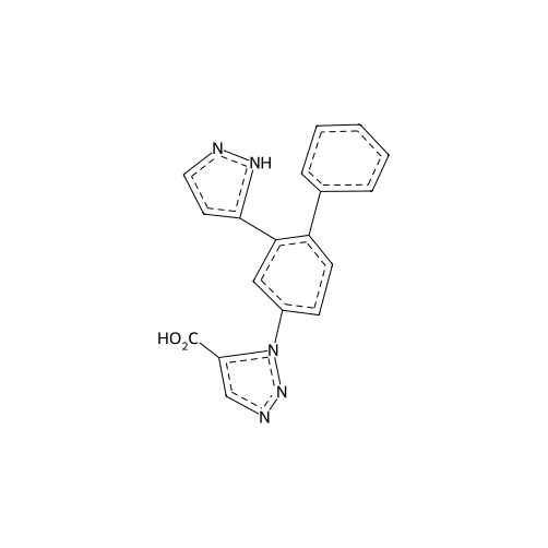 O=C(O)c1cnnn1-c1ccc(-c2ccccc2)c(-c2ccn[nH]2)c1